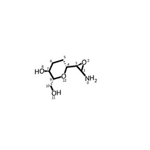 NC1O[C@@H]1[C@H]1CC[C@H](O)[C@@H](CO)O1